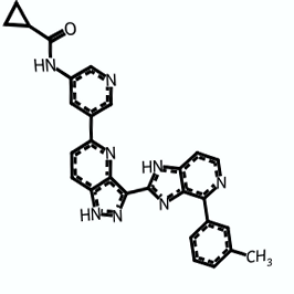 Cc1cccc(-c2nccc3[nH]c(-c4n[nH]c5ccc(-c6cncc(NC(=O)C7CC7)c6)nc45)nc23)c1